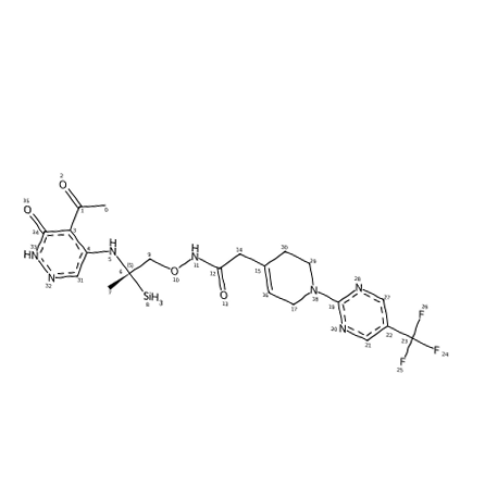 CC(=O)c1c(N[C@@](C)([SiH3])CONC(=O)CC2=CCN(c3ncc(C(F)(F)F)cn3)CC2)cn[nH]c1=O